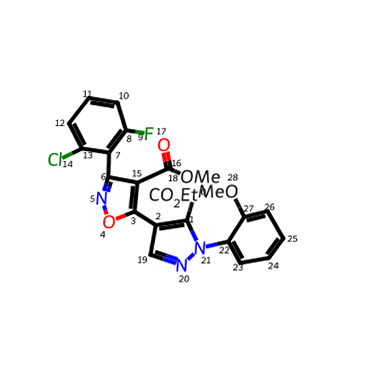 CCOC(=O)c1c(-c2onc(-c3c(F)cccc3Cl)c2C(=O)OC)cnn1-c1ccccc1OC